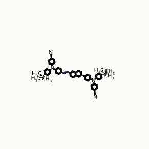 C[Si](C)(C)c1ccc(N(c2ccc(C#N)cc2)c2ccc(/C=C/c3ccc4cc(-c5ccc(N(c6ccc(C#N)cc6)c6ccc([Si](C)(C)C)cc6)cc5)ccc4c3)cc2)cc1